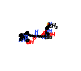 Cc1ncsc1-c1ccc(CNC(=O)[C@@H]2C[C@@H](O)CN2C(=O)[C@@H](NC(=O)CCCCCNC(=O)CCCCC#Cc2cccc(Cn3c(-c4ccccc4)c(-c4ccccc4)c4c(=N)n(C5CCC(O)CC5)cnc43)c2)C(C)(C)C)cc1